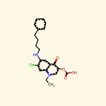 CCn1cc(OC(=O)O)c(=O)c2cc(NCCCCc3ccccc3)c(Cl)cc21